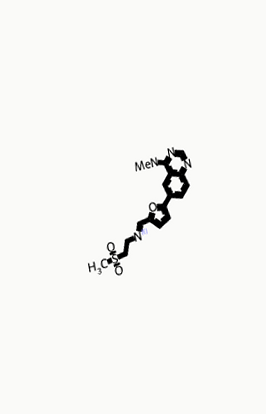 CNc1ncnc2ccc(-c3ccc(/C=N/CCS(C)(=O)=O)o3)cc12